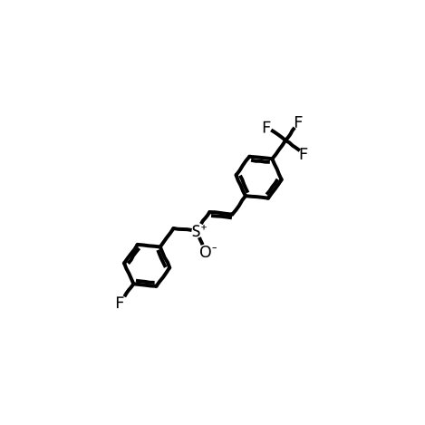 [O-][S+](C=Cc1ccc(C(F)(F)F)cc1)Cc1ccc(F)cc1